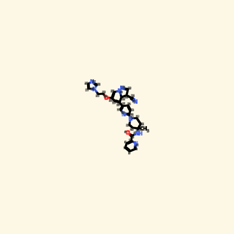 CC1(NC(=O)c2ccccn2)CCN(c2ccc(C3=CC(OCCn4ccnc4)=CN4N=CC(C#N)C34)cn2)CC1